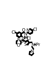 CC(C)N(CCN1CCCC1)Cc1csc(C(=O)Nc2c(C(=O)Nc3ccc(Cl)cn3)cc(Cl)cc2N2CCOCC2)c1Cl